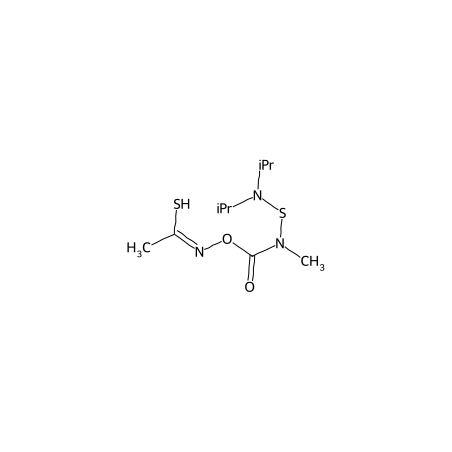 CC(S)=NOC(=O)N(C)SN(C(C)C)C(C)C